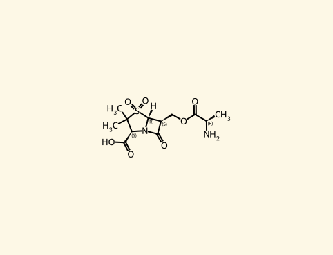 C[C@@H](N)C(=O)OC[C@H]1C(=O)N2[C@@H](C(=O)O)C(C)(C)S(=O)(=O)[C@H]12